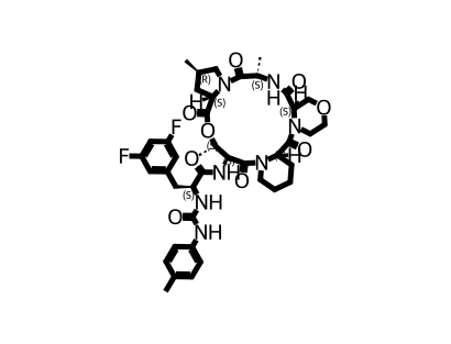 Cc1ccc(NC(=O)N[C@@H](Cc2cc(F)cc(F)c2)C(=O)N[C@@H]2C(=O)N3CCCC[C@H]3C(=O)N3CCOC[C@H]3C(=O)N[C@@H](C)C(=O)N3C[C@H](C)C[C@H]3C(=O)O[C@H]2C)cc1